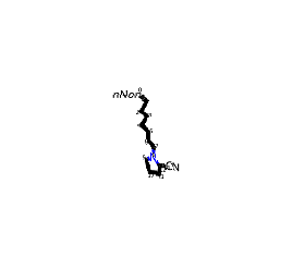 CCCCCCCCCCCCCCCCN1CCCC1C#N